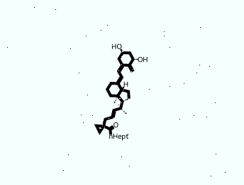 C=C1/C(=C\C=C2/CCC[C@]3(C)[C@@H]([C@H](C)/C=C/CC4(C(=O)CCCCCCC)CC4)CC[C@@H]23)C[C@@H](O)C[C@@H]1O